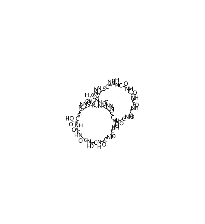 Cn1nnc2c1C(=O)N1CN3CN(C1)C(=O)c1c(nnn1C)SC[C@H](N)C(=O)NCC(=O)NCC(=O)NCC(=O)NCC(=O)NCC(=O)N[C@@H](CSc1nnn(C)c1C3=O)C(=O)NCC(=O)NCC(=O)NCC(=O)NCC(=O)NCC(=O)N[C@H](C(=O)O)CSC2